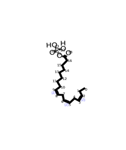 CC/C=C\C/C=C\C/C=C\CCCCCCCC(=O)OP(=O)(O)O